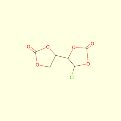 O=C1OCC(C2OC(=O)OC2Cl)O1